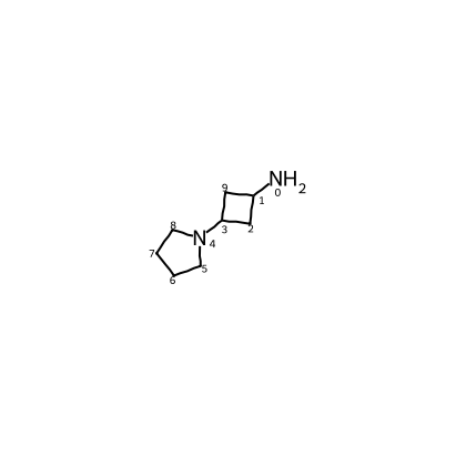 NC1CC(N2CCCC2)C1